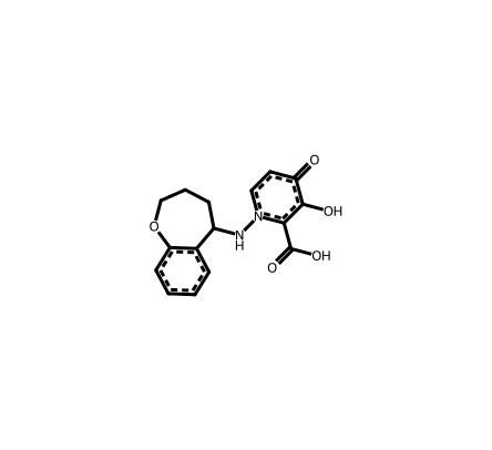 O=C(O)c1c(O)c(=O)ccn1NC1CCCOc2ccccc21